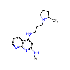 CC(C)Nc1cc(NCCCN2CCCC2C(F)(F)F)c2cccnc2n1